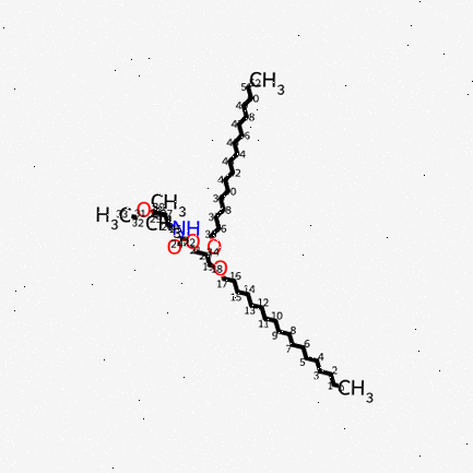 CCCCCCCCCCCCCCCCCCOCC(COC(=O)NCCC(C)(C)OCC)OCCCCCCCCCCCCCCCCCC